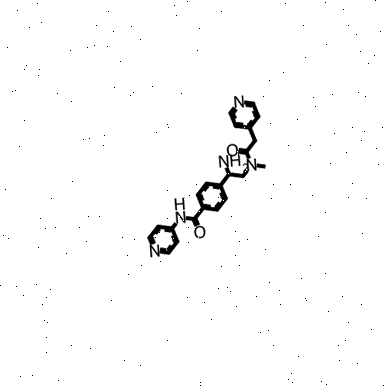 CN(CC(N)c1ccc(C(=O)Nc2ccncc2)cc1)C(=O)Cc1ccncc1